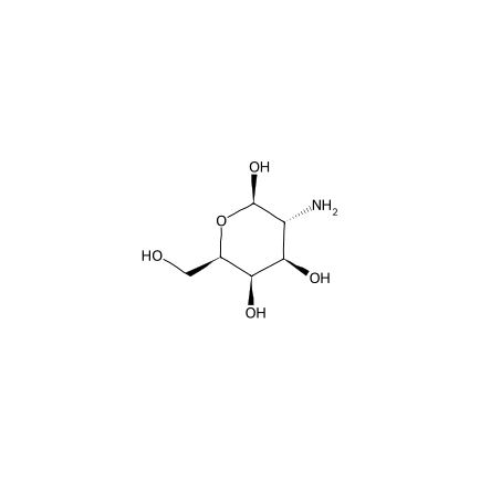 N[C@@H]1[C@@H](O)[C@@H](O)[C@@H](CO)O[C@H]1O